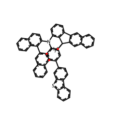 CC12c3cc4ccccc4cc3-c3cccc(c31)N(c1ccc3ccccc3c1-c1ccc3ccccc3c1)c1ccc(-c3ccc4c(c3)sc3ccccc34)cc12